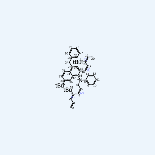 C=C/C=C(\C=C/CN(c1ccccc1)c1c(/C=C\C(=C/C)C(C)(C)C)cc(Cc2ccccc2)c2ccc(C(C)(C)C)cc12)C(C)(C)C